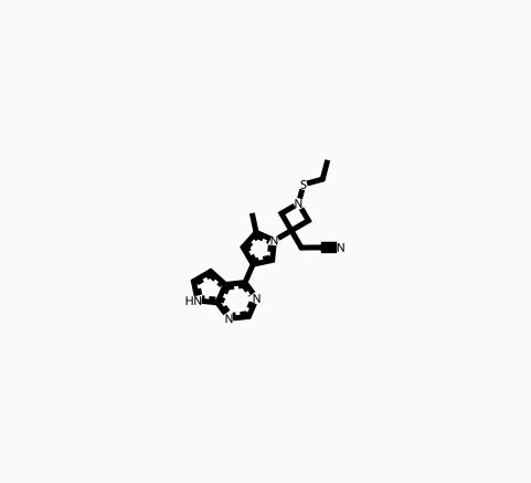 CCSN1CC(CC#N)(n2cc(-c3ncnc4[nH]ccc34)cc2C)C1